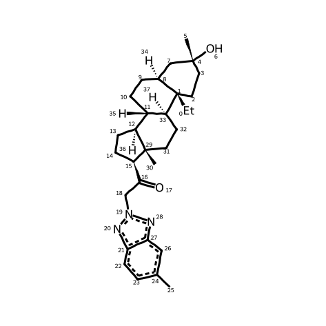 CC[C@]12CC[C@@](C)(O)C[C@@H]1CC[C@H]1[C@@H]3CC[C@H](C(=O)Cn4nc5ccc(C)cc5n4)[C@@]3(C)CC[C@@H]12